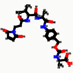 CC(C)[C@H](NC(=O)CCN1C(=O)C=CC1=O)C(=O)N[C@@H](C)C(=O)Nc1ccc(COC(=O)N[C@@H](C)C(=O)O)cc1